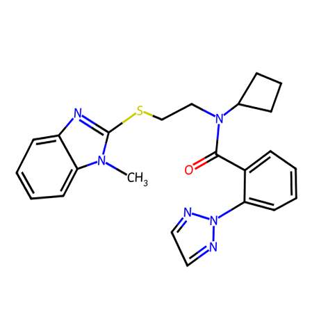 Cn1c(SCCN(C(=O)c2ccccc2-n2nccn2)C2CCC2)nc2ccccc21